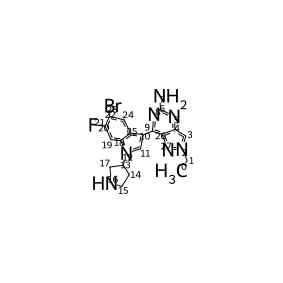 CCn1cc2nc(N)nc(-c3cn(C4CCNC4)c4cc(F)c(Br)cc34)c2n1